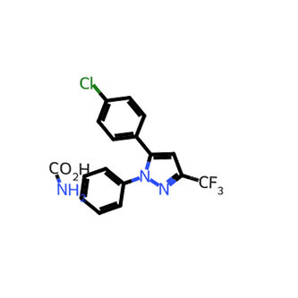 FC(F)(F)c1cc(-c2ccc(Cl)cc2)n(-c2ccccc2)n1.NC(=O)O